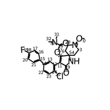 CON1CCC2(CC1)NC(=O)C(c1cc(-c3ccc(F)cc3)ccc1Cl)=C2OC(=O)N(C)C